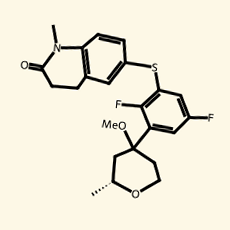 COC1(c2cc(F)cc(Sc3ccc4c(c3)CCC(=O)N4C)c2F)CCO[C@H](C)C1